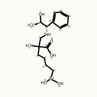 C[C@@H](O)[C@@H](NCC(N)(CCCCB(O)O)C(=O)O)c1ccccc1